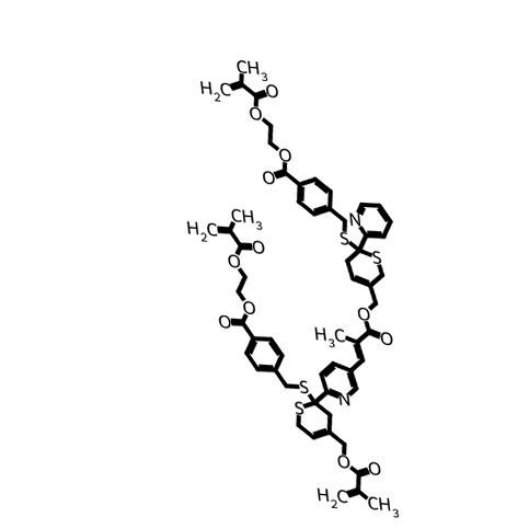 C=C(C)C(=O)OCCOC(=O)c1ccc(CSC2(c3ccccn3)CC=C(COC(=O)/C(C)=C/c3ccc(C4(SCc5ccc(C(=O)OCCOC(=O)C(=C)C)cc5)CC(COC(=O)C(=C)C)=CCS4)nc3)CS2)cc1